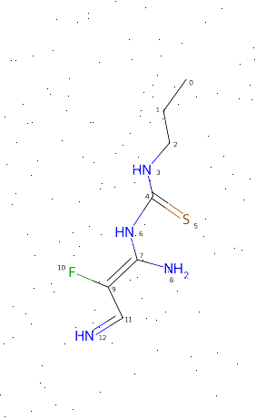 CCCNC(=S)N/C(N)=C(\F)C=N